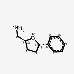 NC[C@@H]1CC[C@@H](c2ccccc2)O1